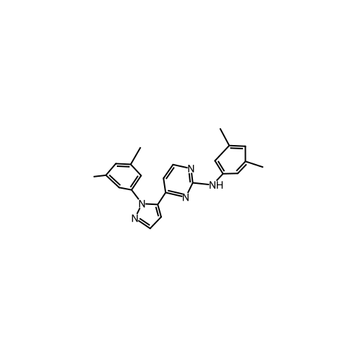 Cc1cc(C)cc(Nc2nccc(-c3ccnn3-c3cc(C)cc(C)c3)n2)c1